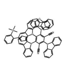 C[Si](C)(C)c1ccccc1-c1ccc2c(c1)c1ccc3oc4ccccc4c3c1n2-c1c(-n2c3ccccc3c3ccccc32)c(C#N)c(-n2c3ccccc3c3ccccc32)c(C#N)c1-n1c2ccccc2c2ccccc21